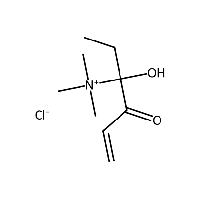 C=CC(=O)C(O)(CC)[N+](C)(C)C.[Cl-]